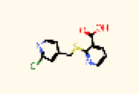 O=C(O)c1cccnc1SCc1ccnc(Cl)c1